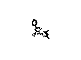 Cc1cc(C)nc(Nc2ncc(-c3ccccc3)cc2C#N)n1